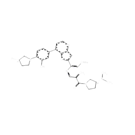 C=C(/C=N\C(=C\OC)c1cc2nccc(-c3ccc(N4CC[C@H](F)C4)c(C#N)c3)c2o1)C(=O)N1CC[C@@H](N(C)C)C1